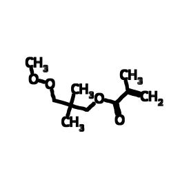 C=C(C)C(=O)OCC(C)(C)COOC